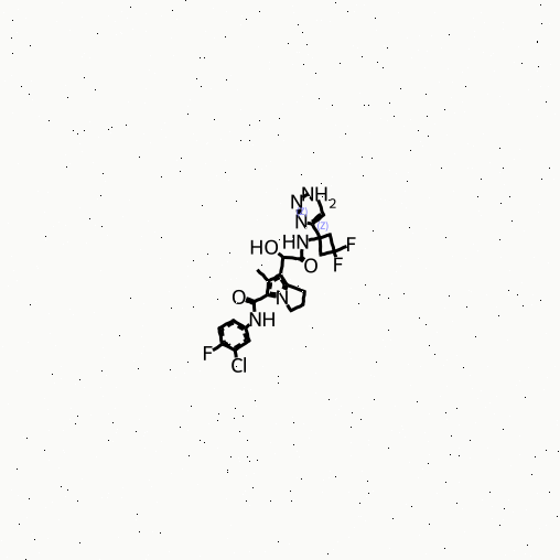 C/C=C(\N=N/N)C1(NC(=O)C(O)c2c(C)c(C(=O)Nc3ccc(F)c(Cl)c3)n3c2CCC3)CC(F)(F)C1